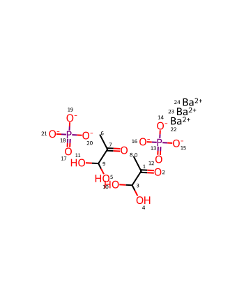 CC(=O)C(O)O.CC(=O)C(O)O.O=P([O-])([O-])[O-].O=P([O-])([O-])[O-].[Ba+2].[Ba+2].[Ba+2]